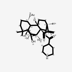 C=C1C(=O)[C@]23[C@H](OC(=O)C4CCNCC4)[C@H]1CC[C@H]2[C@@]12CO[C@@]3(O)[C@@H](O)[C@@H]1C(C)(C)CC[C@@H]2OC(C)=O